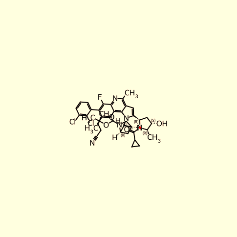 Cc1nc2c(F)c(-c3cccc(Cl)c3Cl)c(CCC#N)cc2c2c1cc([C@H]1C[C@H](O)[C@@H](C)N1C(=O)C1CC1)n2[C@H]1[C@@H]2C[C@H]1N(C(=O)OC(C)(C)C)C2